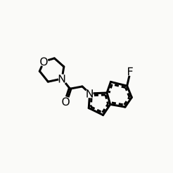 O=C(Cn1ccc2ccc(F)cc21)N1CCOCC1